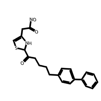 O=NC(=O)CC1=CSC(C(=O)CCCCc2ccc(-c3ccccc3)cc2)N1